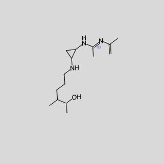 C=C(C)/N=C(\C)NC1CC1NCCCC(C)C(C)O